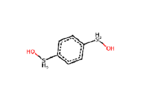 O[SiH2]c1ccc([SiH2]O)cc1